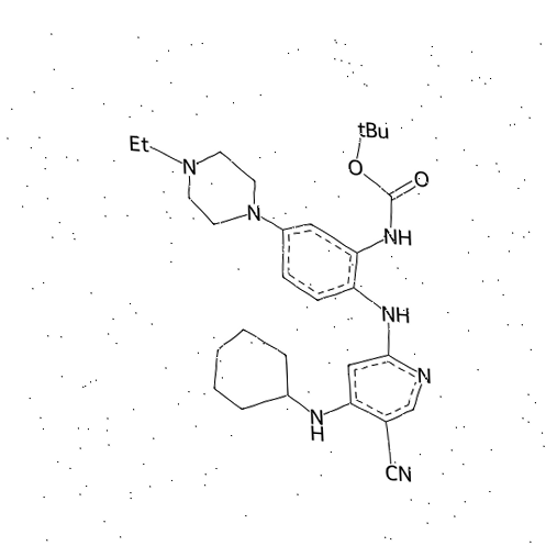 CCN1CCN(c2ccc(Nc3cc(NC4CCCCC4)c(C#N)cn3)c(NC(=O)OC(C)(C)C)c2)CC1